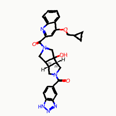 O=C(c1ccc2[nH]nnc2c1)N1C[C@@H]2C3CN(C(=O)c4cc(OCC5CC5)c5ccccc5n4)CC3(O)[C@@H]2C1